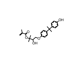 C=C(C)C(=O)OC(C)(C)C(O)COc1ccc(C(C)(C)c2ccc(O)cc2)cc1